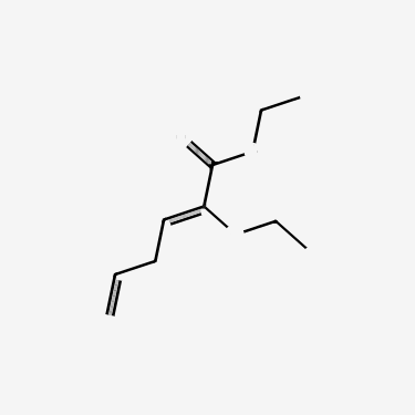 C=CCC=C(OCC)C(=O)OCC